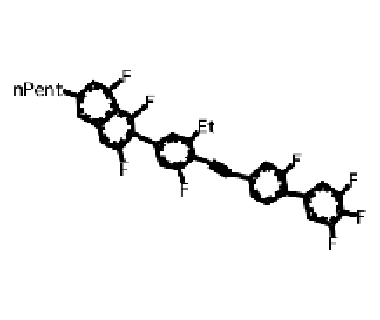 CCCCCc1cc(F)c2c(F)c(-c3cc(F)c(C#Cc4ccc(-c5cc(F)c(F)c(F)c5)c(F)c4)c(CC)c3)c(F)cc2c1